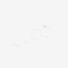 O=COCc1ccc2nc(Cl)ccc2c1